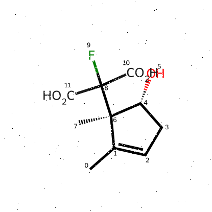 CC1=CC[C@@H](O)[C@]1(C)C(F)(C(=O)O)C(=O)O